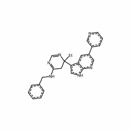 CCC1(c2c[nH]c3ncc(-c4cccnc4)cc23)CC(NCc2ccccc2)=NC=N1